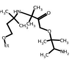 CCOCCC(C)(C)NC(C)(C)C(=O)COC(C)(C)C(C)N